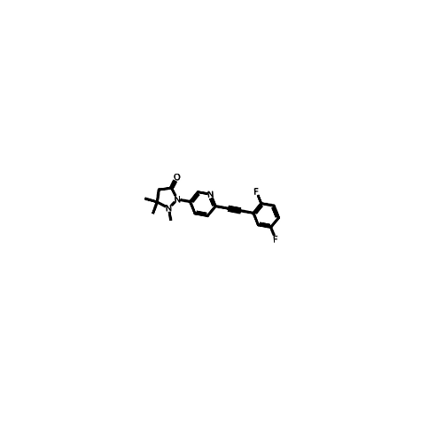 CN1N(c2ccc(C#Cc3cc(F)ccc3F)nc2)C(=O)CC1(C)C